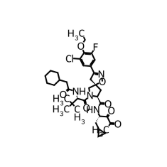 CCOc1c(F)cc(C2=NO[C@]3(C2)C[C@@H](C(=O)N[C@@H](CC2CC2)C(=O)C(C)=O)N(C(=O)[C@@H](NC(=O)CC2CCCCC2)C(C)(C)C)C3)cc1Cl